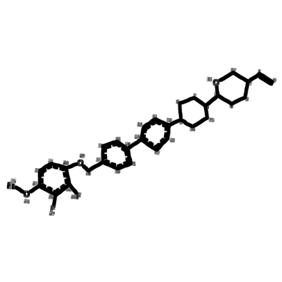 C=CC1CCC(C2CCC(c3ccc(-c4ccc(COc5ccc(OCC)c(F)c5F)cc4)cc3)CC2)OC1